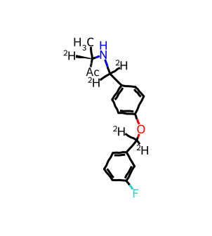 [2H]C([2H])(N[C@@]([2H])(C)C(C)=O)c1ccc(OC([2H])([2H])c2cccc(F)c2)cc1